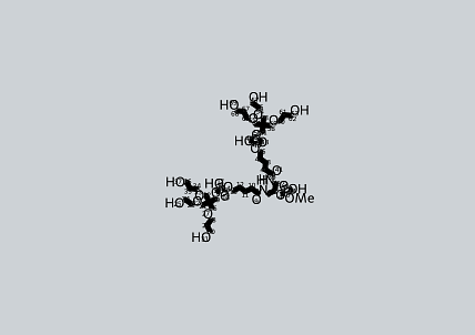 COP(=O)(O)OC(CNC(=O)CCCCOP(=O)(O)OCC(COCCO)(COCCCO)COCCCO)CNC(=O)CCCCOP(=O)(O)OCC(COCCO)(COCCCO)COCCCO